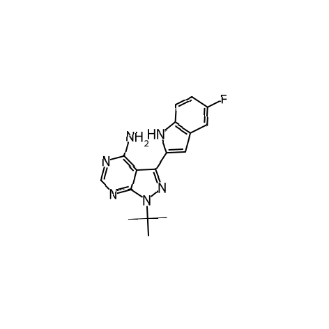 CC(C)(C)n1nc(-c2cc3cc(F)ccc3[nH]2)c2c(N)ncnc21